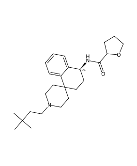 CC(C)(C)CCN1CCC2(CC[C@H](NC(=O)C3CCCO3)c3ccccc32)CC1